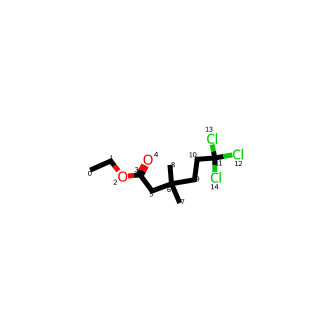 CCOC(=O)CC(C)(C)CCC(Cl)(Cl)Cl